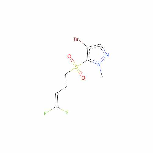 Cn1ncc(Br)c1S(=O)(=O)CCC=C(F)F